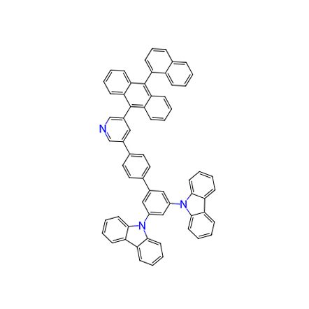 c1ccc2c(-c3c4ccccc4c(-c4cncc(-c5ccc(-c6cc(-n7c8ccccc8c8ccccc87)cc(-n7c8ccccc8c8ccccc87)c6)cc5)c4)c4ccccc34)cccc2c1